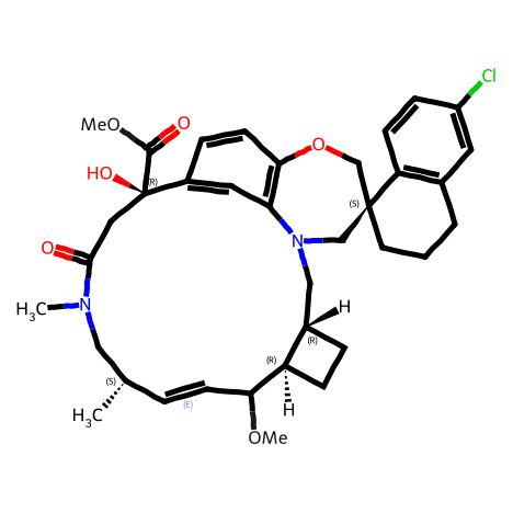 COC(=O)[C@@]1(O)CC(=O)N(C)C[C@@H](C)/C=C/C(OC)[C@@H]2CC[C@H]2CN2C[C@@]3(CCCc4cc(Cl)ccc43)COc3ccc1cc32